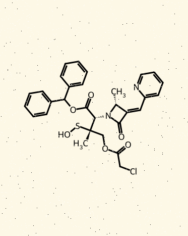 C[C@@H]1/C(=C\c2ccccn2)C(=O)N1[C@@H](C(=O)OC(c1ccccc1)c1ccccc1)[C@](C)(COC(=O)CCl)SO